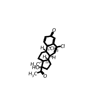 CC(=O)[C@@]1(O)CC[C@H]2[C@@H]3C=C(Cl)C4=CC(=O)C=C[C@]4(C)[C@H]3CC[C@@]21C